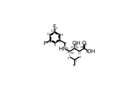 CC(C)C[C@H](NCc1cc(F)cc(F)c1)[C@@H](O)CC(=O)O